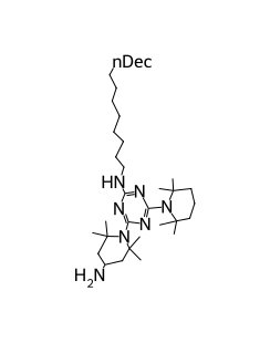 CCCCCCCCCCCCCCCCCCNc1nc(N2C(C)(C)CCCC2(C)C)nc(N2C(C)(C)CC(N)CC2(C)C)n1